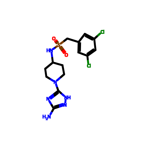 Nc1n[nH]c(N2CCC(NS(=O)(=O)Cc3cc(Cl)cc(Cl)c3)CC2)n1